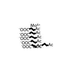 CC(=O)CCC(=O)[O-].CC(=O)CCC(=O)[O-].CC(=O)CCC(=O)[O-].CC(=O)CCC(=O)[O-].CC(=O)CCC(=O)[O-].CC(=O)CCC(=O)[O-].[Mo+6]